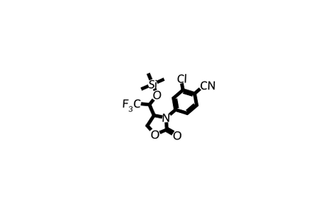 C[Si](C)(C)OC(C1COC(=O)N1c1ccc(C#N)c(Cl)c1)C(F)(F)F